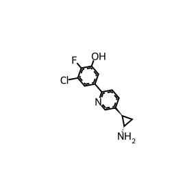 N[C@H]1C[C@@H]1c1ccc(-c2cc(O)c(F)c(Cl)c2)nc1